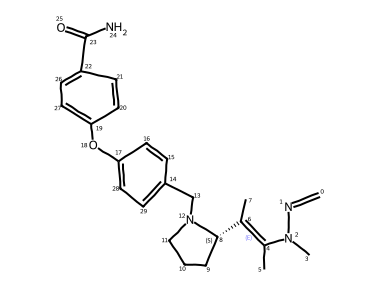 C=NN(C)/C(C)=C(\C)[C@@H]1CCCN1Cc1ccc(Oc2ccc(C(N)=O)cc2)cc1